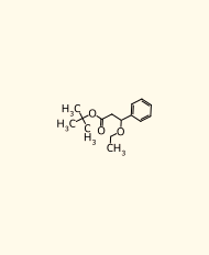 CCOC(CC(=O)OC(C)(C)C)c1ccccc1